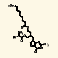 CCCCCCCCCCCC=CCCCCC(=O)OCCC(COC(=O)[C@@H](N)C(C)C)Cn1cnc2c(=O)[nH]c(N)nc21